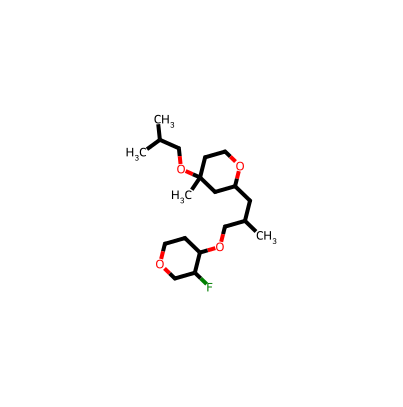 CC(C)COC1(C)CCOC(CC(C)COC2CCOCC2F)C1